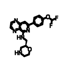 FC(F)Oc1ccc(-c2cc3nccnc3c(NC[C@@H]3CNCCO3)n2)cc1